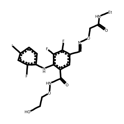 CCNC(=O)CO/N=C/c1cc(C(=O)NOCCO)c(Nc2ccc(I)cc2F)c(F)c1F